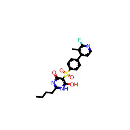 CCCCc1nc(=O)c(S(=O)(=O)c2ccc(-c3ccnc(F)c3C)cc2)c(O)[nH]1